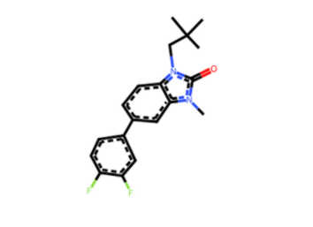 Cn1c(=O)n(CC(C)(C)C)c2ccc(-c3ccc(F)c(F)c3)cc21